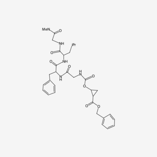 CNC(=O)CNC(=O)C(CC(C)C)NC(=O)C(Cc1ccccc1)NC(=O)CNC(=O)OC1CC1C(=O)OCc1ccccc1